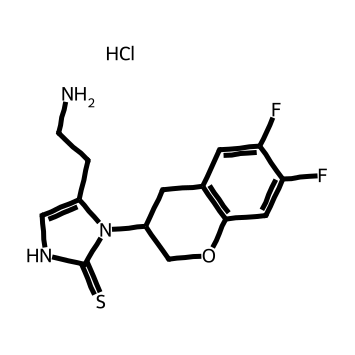 Cl.NCCc1c[nH]c(=S)n1C1COc2cc(F)c(F)cc2C1